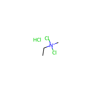 CC[N+](C)(Cl)Cl.Cl